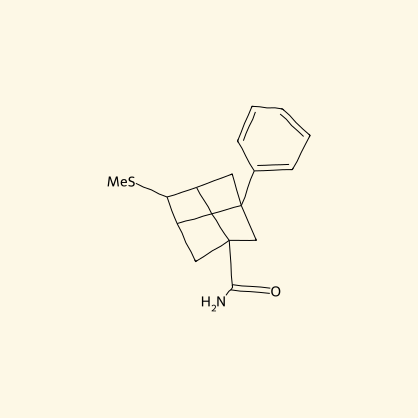 CSC1C2CC3(C(N)=O)CC4(c5ccccc5)CC1C234